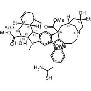 CC(N)S.CC[C@]1(O)C[C@@H]2C[N@@](CCc3c([nH]c4ccccc34)[C@@](C(=O)OC)(c3cc4c(cc3OC)N(C)[C@H]3[C@@](O)(C(=O)OC)[C@H](OC(C)=O)[C@]5(CC)C=CCN6CC[C@]43[C@@H]65)C2)C1